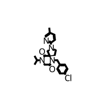 Cc1ccc(N2CC[C@]3(C2)C(=O)N(C(C)C)CC(=O)N3Cc2ccc(Cl)cc2)nc1